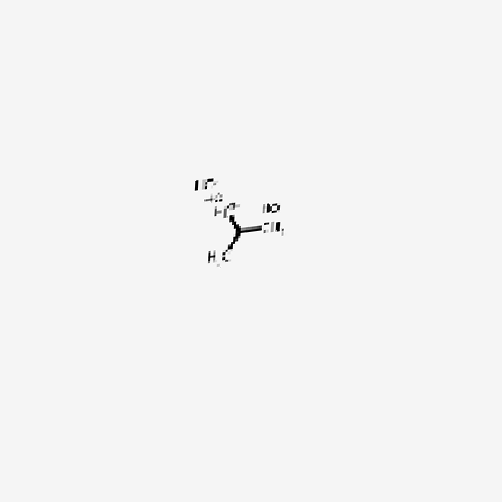 C[CH](C)[Hf+3].[OH-].[OH-].[OH-]